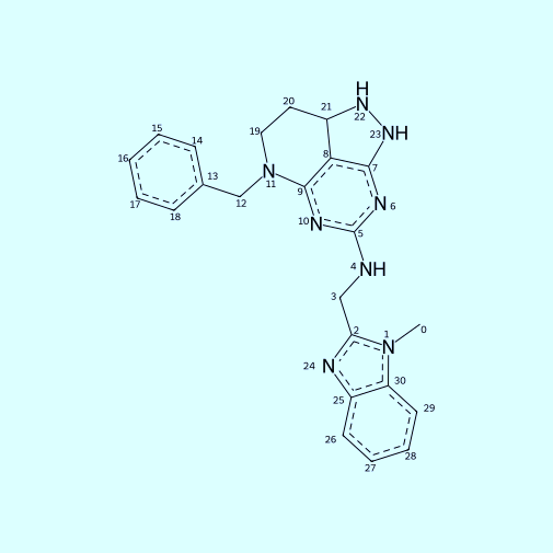 Cn1c(CNc2nc3c4c(n2)N(Cc2ccccc2)CCC4NN3)nc2ccccc21